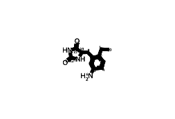 CCc1ccc(N)cc1CC1NC(=O)NC1=O